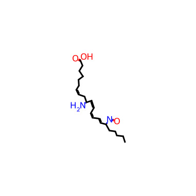 CCCCCC(/C=C/C=C\C=C/C(N)C/C=C\CCCCCC(=O)O)N=O